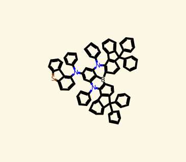 c1ccc(N2c3cc(N(c4ccccc4)c4cccc5sc6ccccc6c45)cc4c3B(c3ccc5c(c32)-c2ccccc2C5(c2ccccc2)c2ccccc2)c2ccc3c(c2N4c2ccccc2)-c2ccccc2C3(c2ccccc2)c2ccccc2)cc1